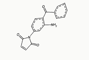 Nc1cc(N2C(=O)C=CC2=O)ccc1C(=O)c1ccccc1